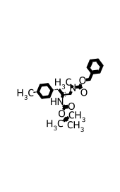 CN(C[C@H](C[C@H]1CC[C@@H](C)CC1)NC(=O)OC(C)(C)C)C(=O)OCc1ccccc1